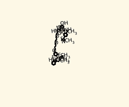 Cc1ncsc1-c1ccc([C@H](C)NC(=O)[C@@H]2C[C@@H](O)CN2C(=O)[C@@H](NC(=O)COCCCOCCCCOc2cc(F)c([C@@H]3c4[nH]c5ccccc5c4C[C@@H](C)N3CC(C)(C)F)c(F)c2)C(C)(C)C)cc1